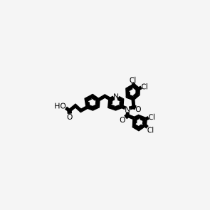 O=C(O)CCc1ccc(Cc2ccc(N(C(=O)c3ccc(Cl)c(Cl)c3)C(=O)c3ccc(Cl)c(Cl)c3)cn2)cc1